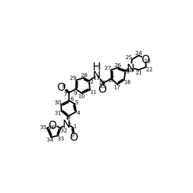 O=CN(c1ccc(C(=O)c2ccc(NC(=O)c3ccc(N4CCOCC4)cc3)cc2)cc1)c1ccco1